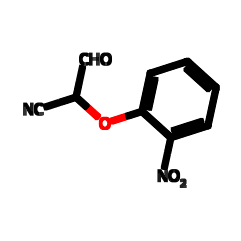 N#CC(C=O)Oc1ccccc1[N+](=O)[O-]